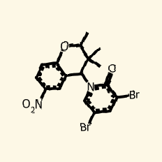 CC1Oc2ccc([N+](=O)[O-])cc2C(n2cc(Br)cc(Br)c2=O)C1(C)C